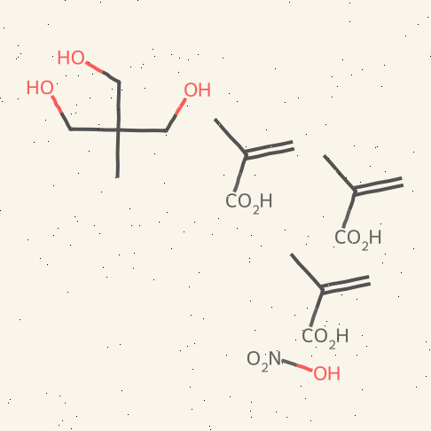 C=C(C)C(=O)O.C=C(C)C(=O)O.C=C(C)C(=O)O.CC(CO)(CO)CO.O=[N+]([O-])O